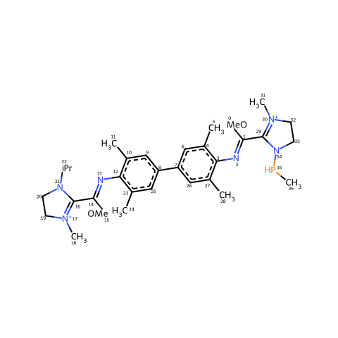 CO/C(=N\c1c(C)cc(-c2cc(C)c(/N=C(\OC)C3=[N+](C)CCN3C(C)C)c(C)c2)cc1C)C1=[N+](C)CCN1PC